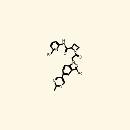 CC(=O)c1nn(CC(=O)N2CCC2C(=O)Nc2cccc(Br)n2)c2ccc(-c3cnc(C)nc3)cc12